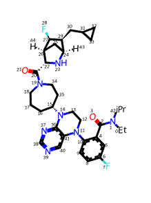 CCN(C(=O)c1cc(F)ccc1N1CCN([C@@H]2CCCN(C(=O)[C@H]3N[C@H]4C[C@@H]3[C@@H](F)[C@H]4CC3CC3)CC2)c2ncncc21)C(C)C